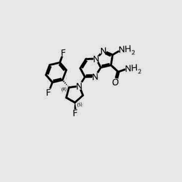 NC(=O)c1c(N)nn2ccc(N3C[C@@H](F)C[C@@H]3c3cc(F)ccc3F)nc12